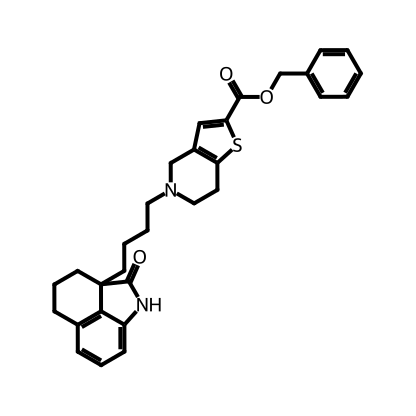 O=C(OCc1ccccc1)c1cc2c(s1)CCN(CCCCC13CCCc4cccc(c41)NC3=O)C2